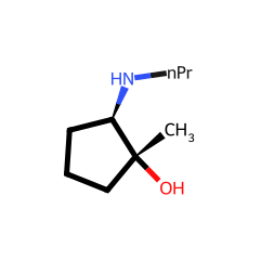 CCCN[C@@H]1CCC[C@@]1(C)O